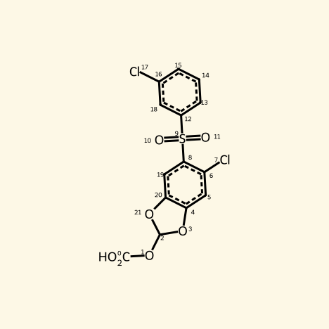 O=C(O)OC1Oc2cc(Cl)c(S(=O)(=O)c3cccc(Cl)c3)cc2O1